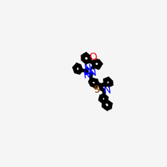 c1ccc(-c2nc(-c3ccc4sc5c(-c6ccc7ccccc7c6)nc6ccccc6c5c4c3)nc(-c3cccc4oc5ccccc5c34)n2)cc1